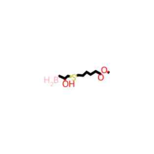 BCC(O)CSCCCCCC(=O)OC